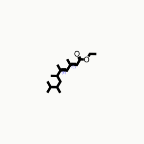 CCOC(=O)/C=C(C)/C=C(\C)C(C)CC(C)C(C)C